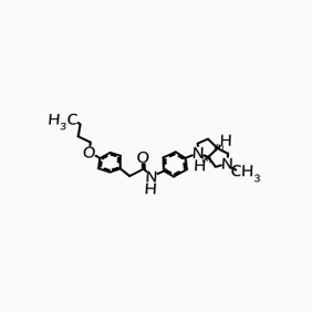 CCCCOc1ccc(CC(=O)Nc2ccc(N3CC[C@@H]4CN(C)C[C@@H]43)cc2)cc1